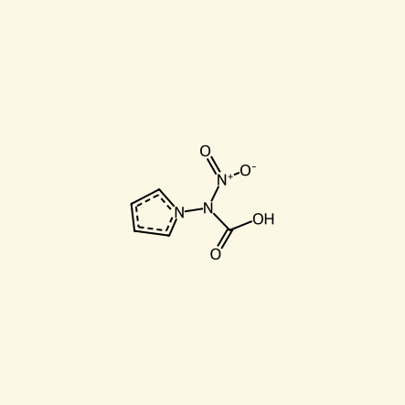 O=C(O)N(n1cccc1)[N+](=O)[O-]